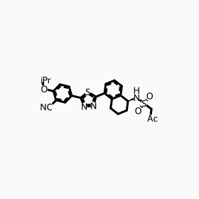 CC(=O)CS(=O)(=O)N[C@H]1CCCc2c(-c3nnc(-c4ccc(OC(C)C)c(C#N)c4)s3)cccc21